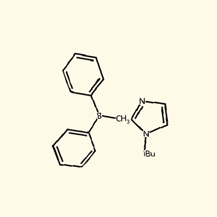 CB(c1ccccc1)c1ccccc1.CCC(C)n1ccnc1